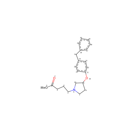 COC(=O)CCCN1CCC(Oc2ccc(Cc3ccccc3)cc2)C1